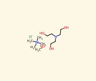 CO.C[N+](C)(C)C.OCCN(CCO)CCO.[Cl-]